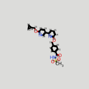 CS(=O)(=O)NC(=O)c1ccc(COc2cccc(-c3ccc(OCC4CC4)nc3)n2)cc1